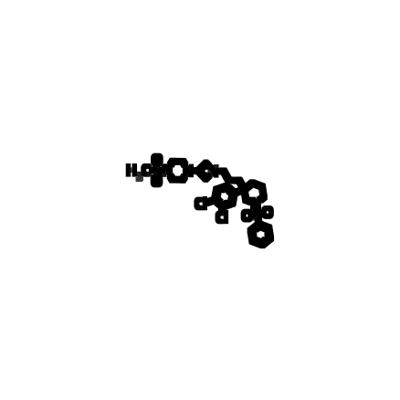 CS(=O)(=O)N1CCN(C2CN(CCCC3(c4ccc(Cl)c(Cl)c4)CCCN(S(=O)(=O)c4ccccc4)C3)C2)CC1